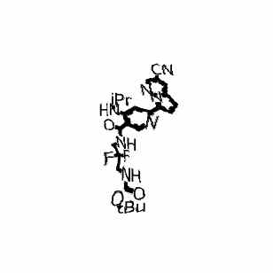 CC(C)Nc1cc(-c2ccc3cc(C#N)cnn23)ncc1C(=O)NCC(F)(F)CNC(=O)OC(C)(C)C